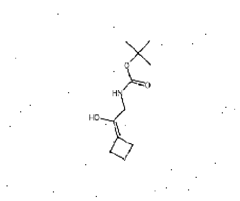 CC(C)(C)OC(=O)NCC(O)=C1CCC1